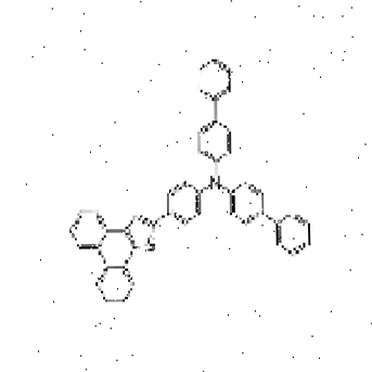 c1ccc(-c2ccc(N(c3ccc(-c4ccccc4)cc3)c3ccc(-c4cc5c6ccccc6c6ccccc6c5s4)cc3)cc2)cc1